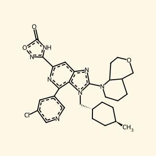 C[C@H]1CC[C@H](Cn2c(N3CCCC4COCCC43)nc3cc(-c4noc(=O)[nH]4)nc(-c4cncc(Cl)c4)c32)CC1